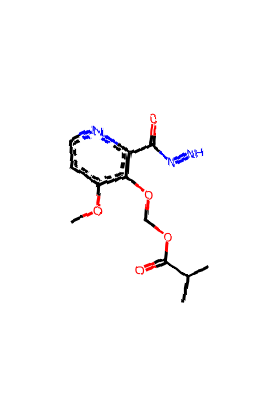 COc1ccnc(C(=O)N=N)c1OCOC(=O)C(C)C